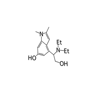 CCN(CC)C(CO)c1cc(O)cc2c1cc(C)n2C